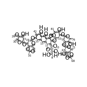 COC(C(=O)C(O)C(C)O)C1Cc2cc3cc(OC4CC(OC5CC(O)C(OC)C(C)O5)C(OC(C)=O)C(C)O4)c(C)c(O)c3c(O)c2C(=O)C1OC1CC(OC2CC(OC3CC(C)(O)C(OC(C)=O)C(C)O3)C(O)C(C)O2)C(O)C(C)O1